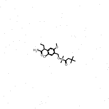 CCC(C(N)=O)c1cc(OC)c(CO[Si](C)(C)C(=O)CC(C)(C)C)cc1Cl